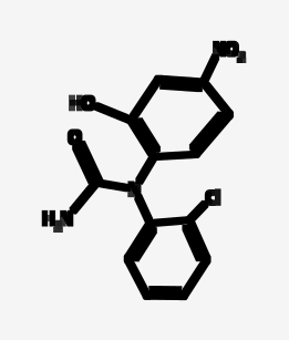 NC(=O)N(c1ccc([N+](=O)[O-])cc1O)c1ccccc1Cl